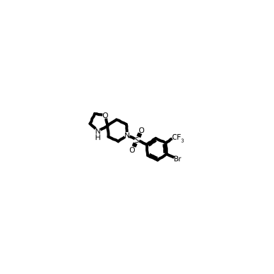 O=S(=O)(c1ccc(Br)c(C(F)(F)F)c1)N1CCC2(CC1)NCCO2